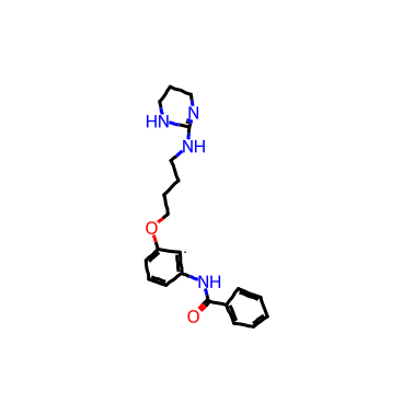 O=C(Nc1[c]c(OCCCCNC2=NCCCN2)ccc1)c1ccccc1